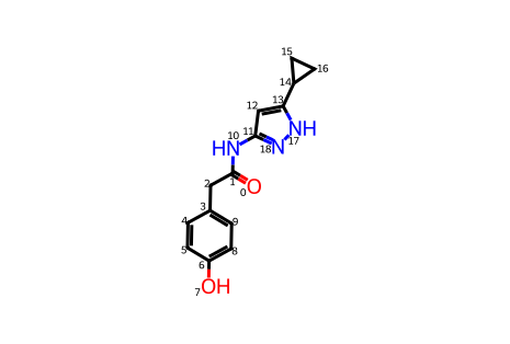 O=C(Cc1ccc(O)cc1)Nc1cc(C2CC2)[nH]n1